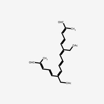 CC(=O)OCC(C=CC=C(C)C=O)=CC=CC=C(C=CC=C(C)C=O)COC(C)=O